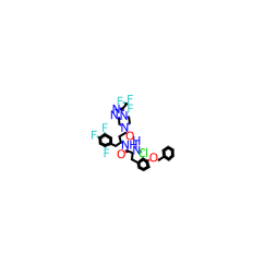 O=C(NC(CC(=O)N1CCn2c(nnc2C(F)(F)F)C1)Cc1cc(F)c(F)cc1F)C(Cc1cccc(OCc2ccccc2)c1)NCl